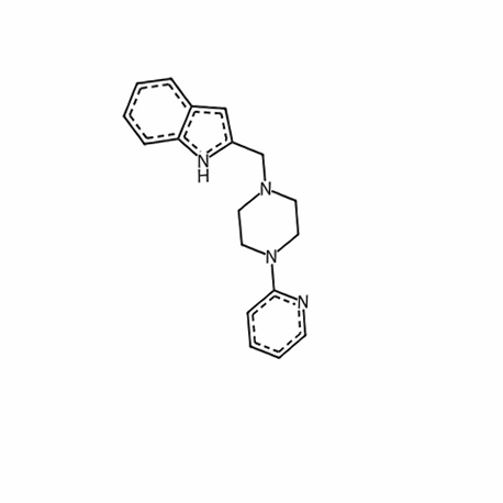 c1ccc(N2CCN(Cc3cc4ccccc4[nH]3)CC2)nc1